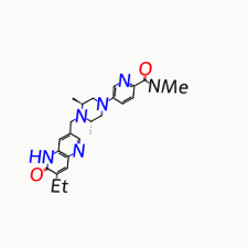 CCc1cc2ncc(CN3[C@@H](C)CN(c4ccc(C(=O)NC)nc4)C[C@@H]3C)cc2[nH]c1=O